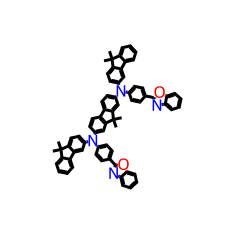 CC1(C)c2ccccc2-c2cc(N(c3ccc(-c4nc5ccccc5o4)cc3)c3ccc4c(c3)C(C)(C)c3cc(N(c5ccc(-c6nc7ccccc7o6)cc5)c5ccc6c(c5)-c5ccccc5C6(C)C)ccc3-4)ccc21